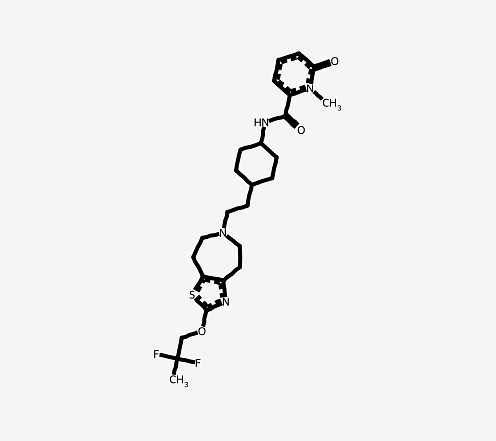 Cn1c(C(=O)NC2CCC(CCN3CCc4nc(OCC(C)(F)F)sc4CC3)CC2)cccc1=O